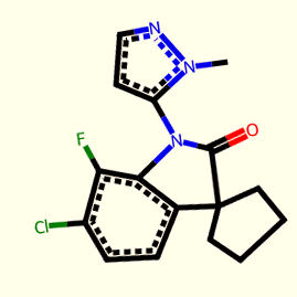 Cn1nccc1N1C(=O)C2(CCCC2)c2ccc(Cl)c(F)c21